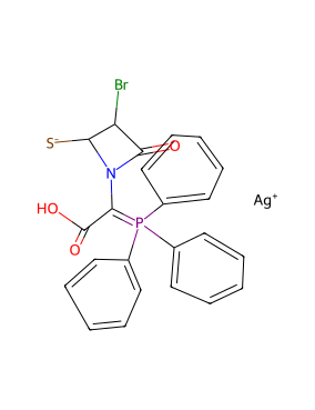 O=C(O)C(N1C(=O)C(Br)C1[S-])=P(c1ccccc1)(c1ccccc1)c1ccccc1.[Ag+]